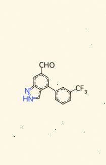 O=Cc1cc(-c2cccc(C(F)(F)F)c2)c2c[nH]nc2c1